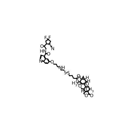 C[C@]12CCC3=C(COC3=O)[C@@H]1CO[C@]1(C)[C@H](OC(=O)CCCSSCCNCCCOc3ccc4nccc(C(=O)NCC(=O)C5CC(F)(F)C[C@H]5C#N)c4c3)[C@H]3C[C@H]3[C@@H]3O[C@]321